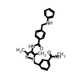 CNC(=O)c1cccc(Cn2nc(C)c(NC(=O)c3ccc(CNc4ccccc4)cc3)c2C)c1